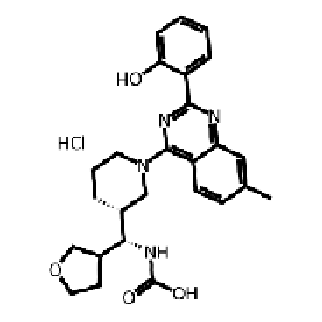 Cc1ccc2c(N3CCC[C@@H]([C@H](NC(=O)O)C4CCOC4)C3)nc(-c3ccccc3O)nc2c1.Cl